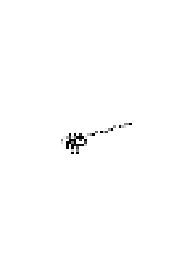 CCCCCCCCCCCCCCCCCC(=O)Oc1nc(OC)nc(=O)n1C